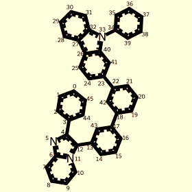 c1ccc(-c2nc3ccccn3c2-c2cccc(-c3cccc(-c4ccc5c6ccccc6n(-c6ccccc6)c5c4)c3)c2)cc1